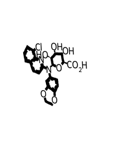 O=C(O)[C@H]1O[C@@H](N(c2ccc3c(c2)OCCO3)c2ccc3cccc(Cl)c3n2)[C@H](O)[C@@H](O)[C@@H]1O